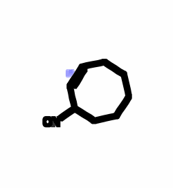 O=NC1/C=C\CCCCC1